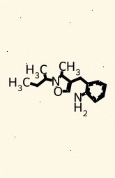 CCC(C)N1OC=C(Cc2ccccc2N)C1C